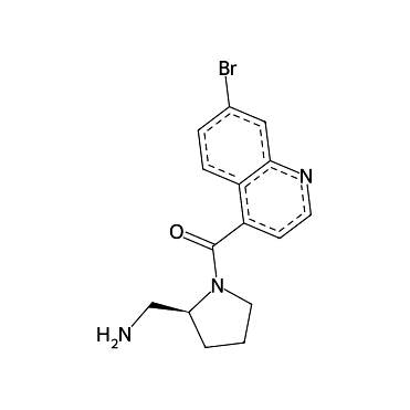 NC[C@@H]1CCCN1C(=O)c1ccnc2cc(Br)ccc12